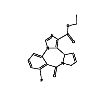 CCOC(=O)c1ncn2c1C1C=CCN1C(=O)c1c(F)cccc1-2